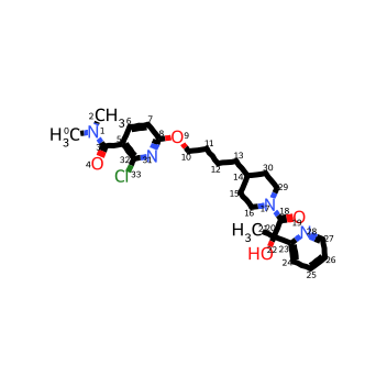 CN(C)C(=O)c1ccc(OCCCCC2CCN(C(=O)C(C)(O)c3ccccn3)CC2)nc1Cl